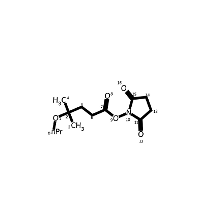 CCCOC(C)(C)CCC(=O)ON1C(=O)CCC1=O